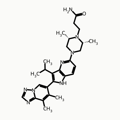 Cc1c(-c2[nH]c3ccc(N4C[C@@H](C)N(CCC(N)=O)[C@@H](C)C4)nc3c2C(C)C)cn2ncnc2c1C